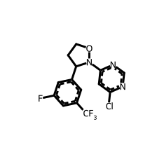 Fc1cc(C2CCON2c2cc(Cl)ncn2)cc(C(F)(F)F)c1